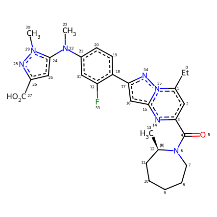 CCc1cc(C(=O)N2CCCCC[C@H]2C)nc2cc(-c3ccc(N(C)c4cc(C(=O)O)nn4C)cc3F)nn12